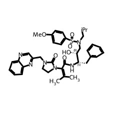 COc1ccc(S(=O)(=O)N(CC(C)C)C[C@@H](O)[C@H](Cc2ccccc2)NC(=O)C(=C(C)C)N2CCN(Cc3cnc4ccccc4n3)C2=O)cc1